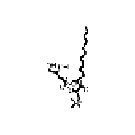 CCCCCCCCCCCC(=O)C(C[N+](C)(C)C)OP(=O)(O)OCC(O)CO